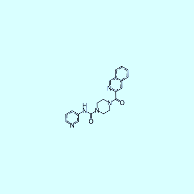 O=C(Nc1cccnc1)N1CCN(C(=O)c2cc3ccccc3cn2)CC1